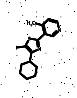 Cc1ccncc1-c1nc(C2CCCCC2)c(I)s1